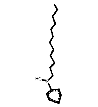 CCCCCCCCCCCCP(O)c1ccccc1